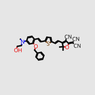 CN(CCO)c1ccc(/C=C/c2ccc(/C=C/C3=C(C#N)C(=C(C#N)C#N)OC3(C)C)s2)c(OCc2ccccc2)c1